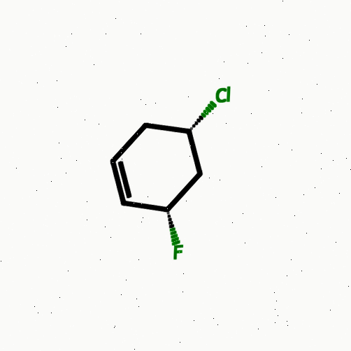 F[C@@H]1C=CC[C@H](Cl)C1